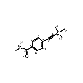 CN(C)C(=O)c1ccc(C#C[Si](C)(C)C)cc1